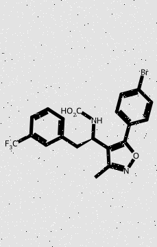 Cc1noc(-c2ccc(Br)cc2)c1[C@@H](Cc1cccc(C(F)(F)F)c1)NC(=O)O